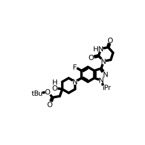 CC(C)n1nc(N2CCC(=O)NC2=O)c2cc(F)c(N3CCC(O)(CC(=O)OC(C)(C)C)CC3)cc21